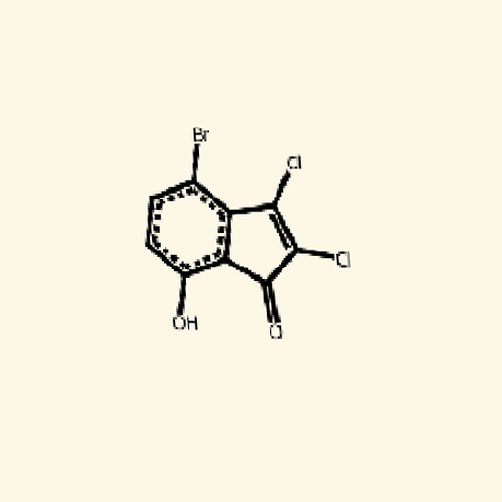 O=C1C(Cl)=C(Cl)c2c(Br)ccc(O)c21